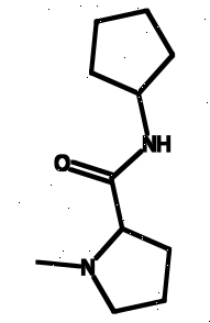 CN1CCCC1C(=O)NC1CCCC1